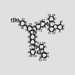 Cc1cccc2c1Cc1c-2cccc1N(c1ccccc1)c1ccc2cc3c4cc(-c5ccc(C(C)(C)C)cc5)cc5c6cc7ccc(N(c8ccccc8)c8cccc9c8oc8c(C)cccc89)cc7cc6n(c3cc2c1)c45